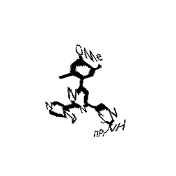 CCCNc1ncc(-c2cc(-c3cc(C)c(OC)cc3C)nc(-c3cnccn3)n2)s1